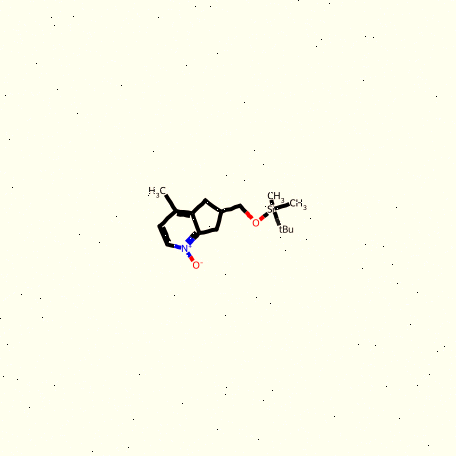 Cc1cc[n+]([O-])c2c1CC(CO[Si](C)(C)C(C)(C)C)C2